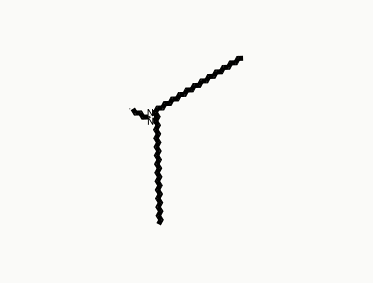 [CH2]CCCc1nc(CCCCCCCCCCCCCCCCCCCCCCCC)cc(CCCCCCCCCCCCCCCCCCCCCCCC)n1